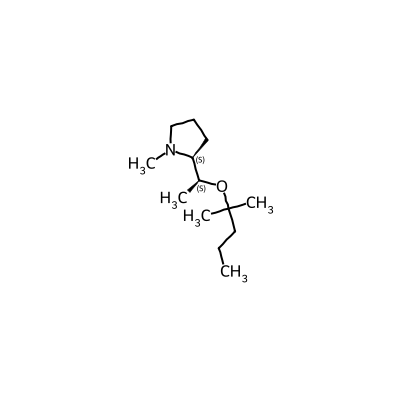 CCCC(C)(C)O[C@@H](C)[C@@H]1CCCN1C